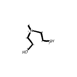 CN(CCO)CCS